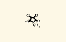 CN1C(=O)C(Cl)C(Cl)C1=S